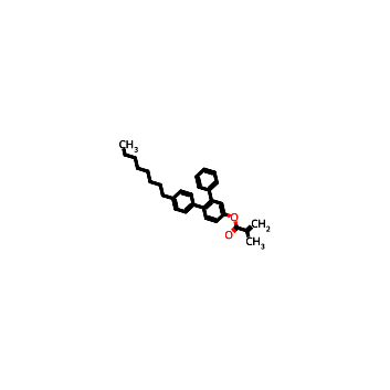 C=C(C)C(=O)Oc1ccc(-c2ccc(CCCCCCCC)cc2)c(-c2ccccc2)c1